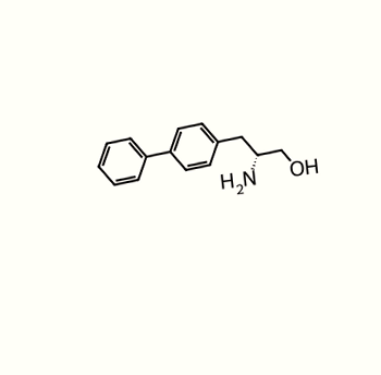 N[C@@H](CO)Cc1ccc(-c2ccccc2)cc1